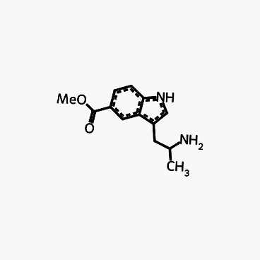 COC(=O)c1ccc2[nH]cc(CC(C)N)c2c1